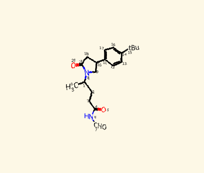 CC(CCC(=O)NC=O)N1CC(c2ccc(C(C)(C)C)cc2)CC1=O